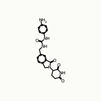 Nc1ccc(NC(=O)NCc2ccc3c(c2)C(=O)N(C2CCC(=O)NC2=O)C3)cc1